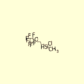 C[SiH](Cl)CCCCCOC1=C(F)C(F)(F)C(F)(F)C1(F)F